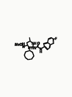 CONC1CC(C)NC(NC(=O)Nc2ccc3cc(F)ccc3c2)N1C1CCCCCCC1